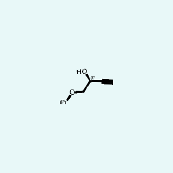 C#C[C@H](O)COC(C)C